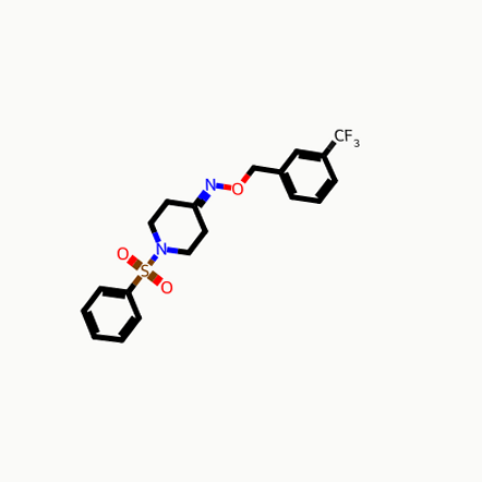 O=S(=O)(c1ccccc1)N1CCC(=NOCc2cccc(C(F)(F)F)c2)CC1